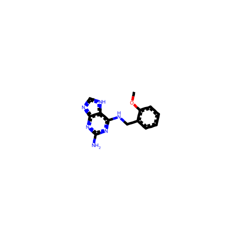 COc1ccccc1CNc1nc(N)nc2nc[nH]c12